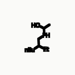 CCCCC(CC)CPC(C)O